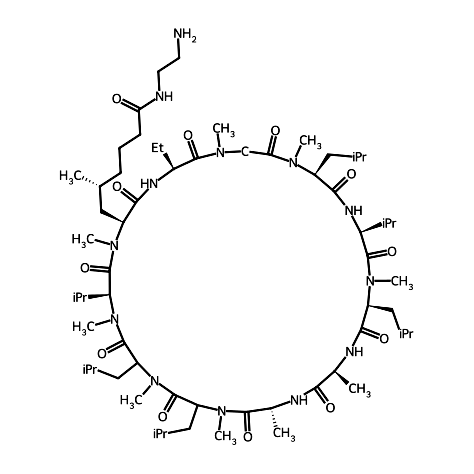 CC[C@@H]1NC(=O)[C@H](C[C@H](C)CCCC(=O)NCCN)N(C)C(=O)[C@H](C(C)C)N(C)C(=O)C(CC(C)C)N(C)C(=O)C(CC(C)C)N(C)C(=O)[C@@H](C)NC(=O)[C@H](C)NC(=O)[C@H](CC(C)C)N(C)C(=O)[C@H](C(C)C)NC(=O)[C@H](CC(C)C)N(C)C(=O)CN(C)C1=O